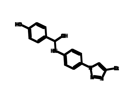 CCc1cn(-c2ccc(NC(O)c3ccc(O)cc3)cc2)nn1